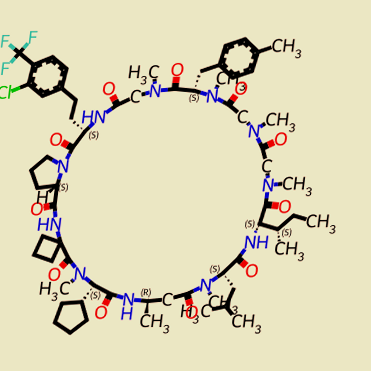 CC[C@H](C)[C@@H]1NC(=O)[C@H](CC(C)C)N(C)C(=O)C[C@@H](C)NC(=O)[C@H](C2CCCC2)N(C)C(=O)C2(CCC2)NC(=O)[C@@H]2CCCN2C(=O)[C@H](CCc2ccc(C(F)(F)F)c(Cl)c2)NC(=O)CN(C)C(=O)[C@H](Cc2ccc(C)cc2)N(C)C(=O)CN(C)C(=O)CN(C)C1=O